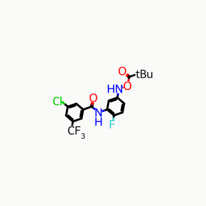 CC(C)(C)C(=O)ONc1ccc(F)c(NC(=O)c2cc(Cl)cc(C(F)(F)F)c2)c1